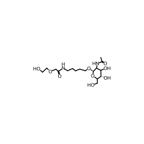 CC(=O)NC1C(O)[C@H](O)C(CO)O[C@H]1OCCCCCNC(=O)COCCO